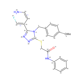 COc1ccc(Cn2c(SCC(=O)Nc3ccccc3)nnc2C(/C=C\N)=C/F)cc1